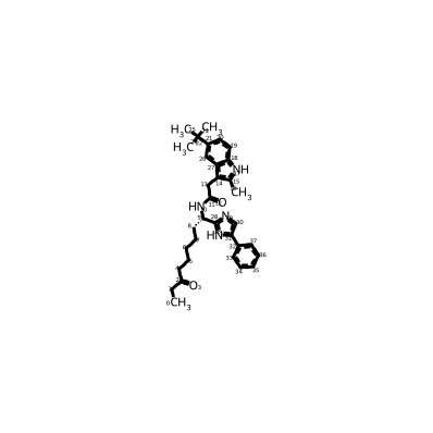 CCC(=O)CCCCC[C@H](NC(=O)Cc1c(C)[nH]c2ccc(C(C)(C)C)cc12)c1ncc(-c2ccccc2)[nH]1